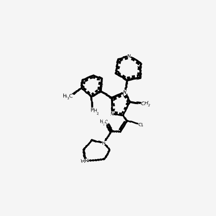 C=C(/C=C(/Cl)c1nc(-c2cccc(C)c2P)n(-c2ccncc2)c1C)N1CCNCC1